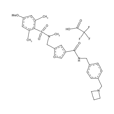 COc1cc(C)c(S(=O)(=O)N(C)Cc2cc(C(=O)NCc3ccc(CN4CCC4)cc3)co2)c(C)c1.O=C(O)C(F)(F)F